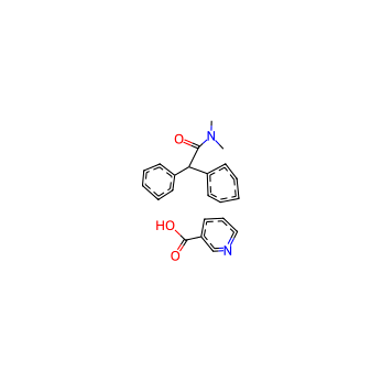 CN(C)C(=O)C(c1ccccc1)c1ccccc1.O=C(O)c1cccnc1